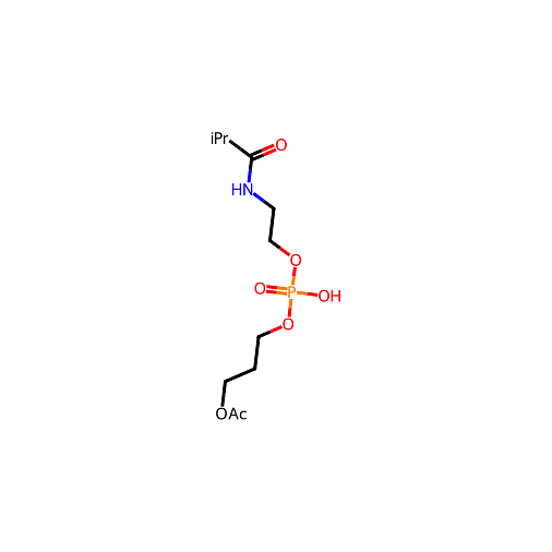 CC(=O)OCCCOP(=O)(O)OCCNC(=O)C(C)C